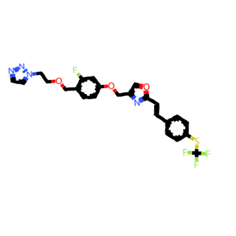 Fc1cc(OCc2coc(C=Cc3ccc(SC(F)(F)F)cc3)n2)ccc1COCCn1ccnn1